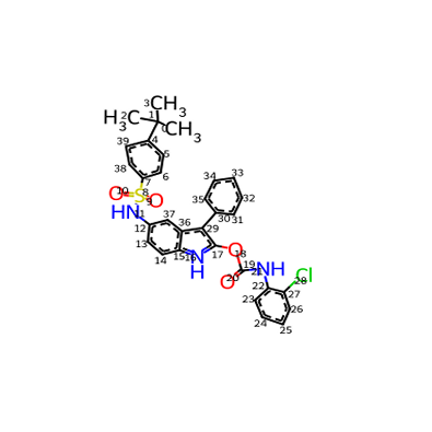 CC(C)(C)c1ccc(S(=O)(=O)Nc2ccc3[nH]c(OC(=O)Nc4ccccc4Cl)c(-c4ccccc4)c3c2)cc1